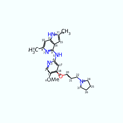 COc1cnc(Nc2nc(C)cc3[nH]c(C)cc23)cc1OCCCN1CCCC1